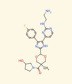 CC1(C(=O)N2CCC(O)C2)COC(c2nc(-c3ccc(F)cc3)c(-c3ccnc(NCCN)n3)[nH]2)OC1